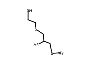 CCCSCC(S)CSCCS